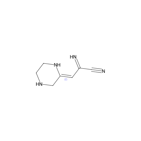 N#CC(=N)/C=C1/CNCCN1